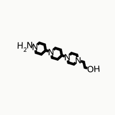 NN1CCC(N2CCC(N3CCN(CCO)CC3)CC2)CC1